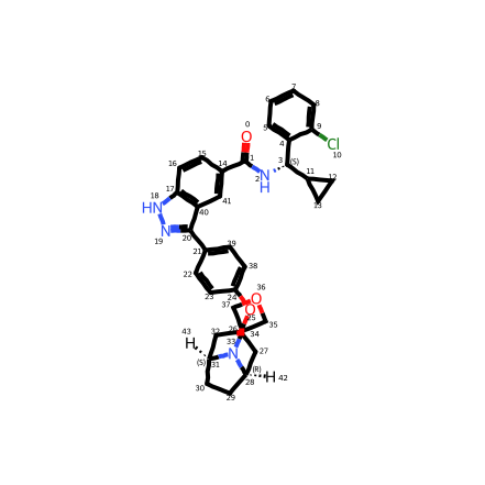 O=C(N[C@H](c1ccccc1Cl)C1CC1)c1ccc2[nH]nc(-c3ccc(OC4C[C@H]5CC[C@@H](C4)N5C4COC4)cc3)c2c1